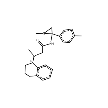 CN(CC(=O)NC1(c2ccc(F)cc2)CN1C)[C@@H]1CCCc2ccccc21